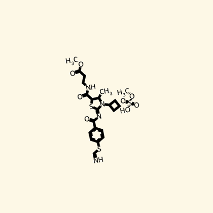 COC(=O)CCNC(=O)C1SC(=NC(=O)c2ccc(SC=N)cc2)N(C2CCC2)C1C.COS(=O)(=O)O